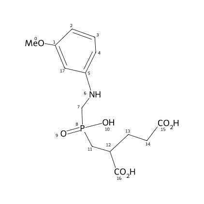 COc1cccc(NCP(=O)(O)CC(CCC(=O)O)C(=O)O)c1